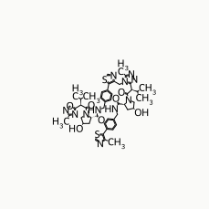 Cc1noc([C@H](C(=O)N2C[C@H](O)C[C@H]2C(=O)NCc2ccc(-c3scnc3Cn3c(C)nnc3[C@H](C(=O)N3C[C@H](O)C[C@H]3C(=O)NCc3ccc(-c4scnc4C)cc3)C(C)C)cc2)C(C)C)n1